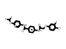 O=C(COc1ccc(Cl)c(F)c1)NC12CCC(C(=O)Nc3ccc(OC(F)F)nc3)(CC1)CC2